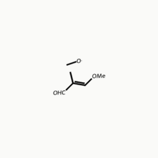 COC=C(C)C=O.C[O]